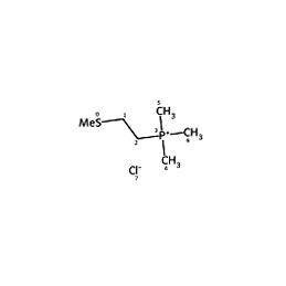 CSCC[P+](C)(C)C.[Cl-]